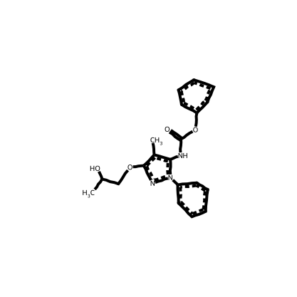 Cc1c(OCC(C)O)nn(-c2ccccc2)c1NC(=O)Oc1ccccc1